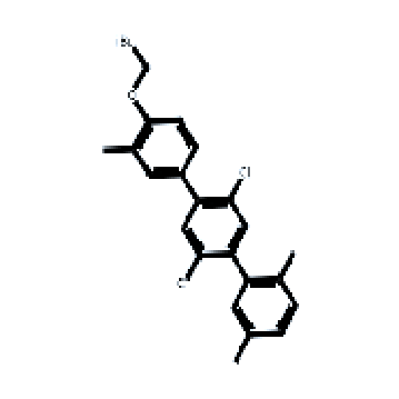 CCC(C)COc1ccc(-c2cc(Cl)c(-c3cc(C)ccc3C)cc2Cl)cc1C